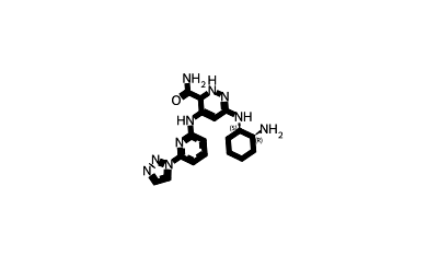 NC(=O)C1NN=C(N[C@H]2CCCC[C@H]2N)C=C1Nc1cccc(-n2ccnn2)n1